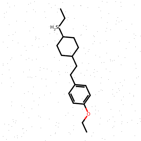 CCOc1ccc(CCC2CCC([SiH2]CC)CC2)cc1